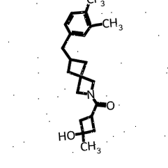 Cc1cc(CC2CC3(C2)CN(C(=O)C2CC(C)(O)C2)C3)ccc1C(F)(F)F